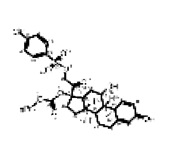 CCCOC(=O)O[C@]1(C(=O)COS(=O)(=O)c2ccc(Cl)cc2)CC[C@H]2[C@@H]3CCC4=CC(=O)C=C[C@]4(C)[C@H]3C(O)C[C@@]21C